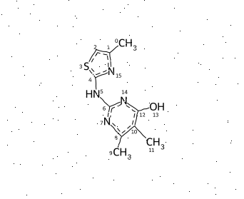 Cc1csc(Nc2nc(C)c(C)c(O)n2)n1